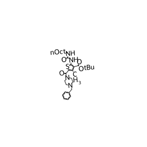 CCCCCCCCNC(=O)Nc1sc(C(=O)N2CCN(Cc3ccccc3)CC2)c(C)c1C(=O)OC(C)(C)C